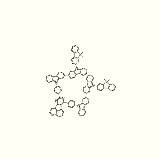 CC1(C)c2ccccc2-c2ccc(-n3c4ccccc4c4ccc(-c5ccc6c7ccccc7n(-c7ccc(-c8nc(-c9ccc(-n%10c%11ccccc%11c%11ccc(-c%12ccc%13c%14ccccc%14n(-c%14ccc%15c(c%14)C(C)(C)c%14ccccc%14-%15)c%13c%12)cc%11%10)cc9)c9c(n8)-c8cccc%10cccc-9c8%10)cc7)c6c5)cc43)cc21